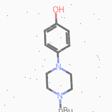 CCCCN1CCN(c2ccc(O)cc2)CC1